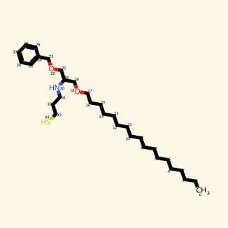 CCCCCCCCCCCCCCCCCCOCC(COCc1ccccc1)NCCCS